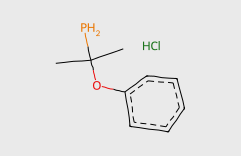 CC(C)(P)Oc1ccccc1.Cl